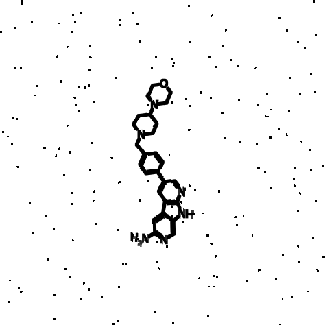 Nc1cc2c(cn1)[nH]c1ncc(-c3ccc(CN4CCC(N5CCOCC5)CC4)cc3)cc12